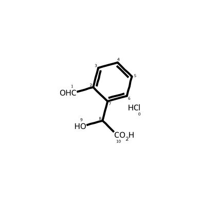 Cl.O=Cc1ccccc1C(O)C(=O)O